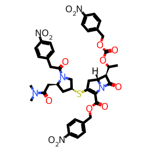 CC(OC(=O)OCc1ccc([N+](=O)[O-])cc1)[C@H]1C(=O)N2C(C(=O)OCc3ccc([N+](=O)[O-])cc3)=C(S[C@H]3C[C@@H](CC(=O)N(C)C)N(C(=O)Cc4ccc([N+](=O)[O-])cc4)C3)C[C@H]12